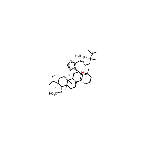 CC(C)[C@@H](C)[C@@]1(C)CC[C@]2(C)[C@H]3CC[C@@H]4[C@@]5(COC[C@@]4(C)[C@@H](OC[C@@](C)(C(C)C)N(C)C)[C@H](n4ncnc4C(N)=O)C5)C3=CC[C@]2(C)[C@@H]1OC(=O)O